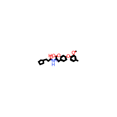 COc1cc(C)ccc1Oc1ccc(/C=C(/NC(=O)CCC2CCCC2)C(=O)O)cc1